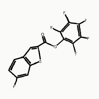 O=C(Oc1c(F)c(F)c(F)c(F)c1F)c1cc2ccc(F)cc2s1